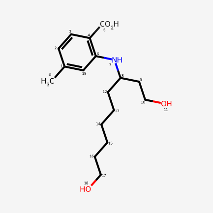 Cc1ccc(C(=O)O)c(NC(CCO)CCCCCCO)c1